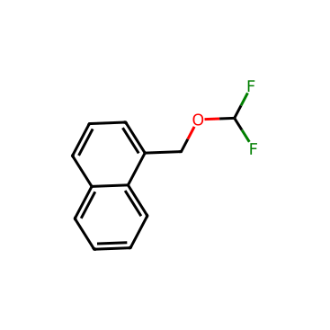 FC(F)OCc1cccc2ccccc12